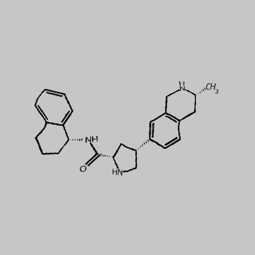 C[C@@H]1Cc2ccc([C@@H]3CN[C@H](C(=O)N[C@@H]4CCCc5ccccc54)C3)cc2CN1